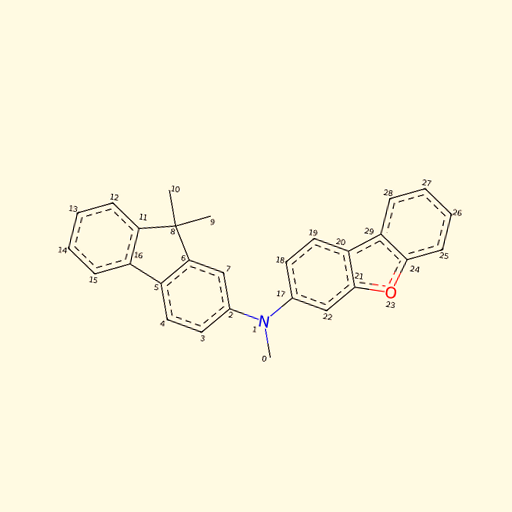 CN(c1ccc2c(c1)C(C)(C)c1ccccc1-2)c1ccc2c(c1)oc1ccccc12